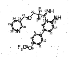 N=C(n1cc(-c2ccc(OC(F)(F)F)cc2)ccc1=N)C(F)(F)COCc1cccnc1